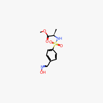 COC(=O)[C@@H](C)NS(=O)(=O)c1ccc(/C=N/O)cc1